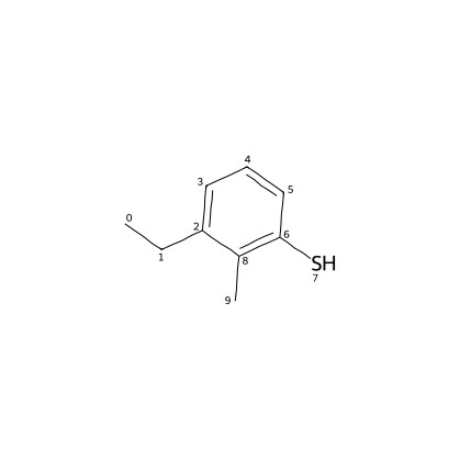 CCc1cccc(S)c1C